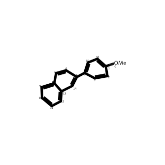 COc1ccc(-c2ccc3ccccc3c2)cc1